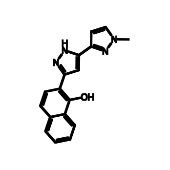 Cn1ccc(-c2cc(-c3ccc4ccccc4c3O)n[nH]2)n1